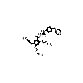 CC#CCc1cc(C(=O)NNC(=S)Nc2ccc(CN3CCOCC3)cc2)c(OCOC)cc1OCOC